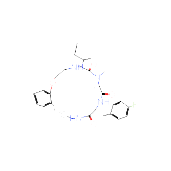 CCC(C)[C@@H]1NCCOc2ccccc2CCCNC(=O)[C@@H](Cc2ccc(F)cc2)NC(=O)[C@@H](C)N(C)C1=O